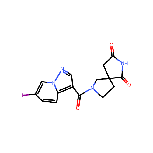 O=C1CC2(CCN(C(=O)c3cnn4cc(I)ccc34)C2)C(=O)N1